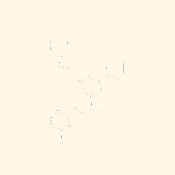 Cc1cccc(C=NN(C)c2cc(N3CCOCC3)cc(OCCN3CCOCC3)n2)c1